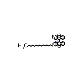 CCCCCCCCCCCCCCCC[n+]1ccc2c(c1)Oc1ccccc1/C2=C1\c2ccccc2Oc2cnccc21